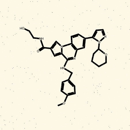 COc1ccc(CNc2nc3cc(-c4ccnn4C4CCCCO4)ccc3n3cc(C(=O)NCCO)cc23)cc1